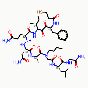 CCCCN(CC(=O)N[C@@H](CC(C)C)C(=O)NCC(N)=O)C(=O)[C@H](C)NC(=O)[C@H](CC(N)=O)NN[C@@H](CCC(N)=O)C(=O)NC(C(=O)C(=O)[C@H](Cc1ccccc1)NC(=O)CCS)[C@@H](C)CC